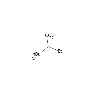 CCCCC(CC)C(=O)O.[Ni]